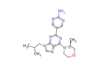 CC(C)Cn1cnc2c(N3CCOC[C@@H]3C)nc(-c3cnc(N)nc3)nc21